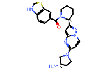 N[C@H]1CCN(c2ccn3nc([C@@H]4CCCCN4C(=O)c4ccc5c(c4)SCN5)cc3n2)C1